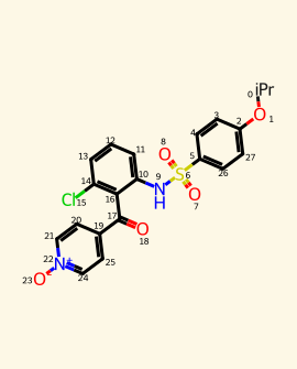 CC(C)Oc1ccc(S(=O)(=O)Nc2cccc(Cl)c2C(=O)c2cc[n+]([O-])cc2)cc1